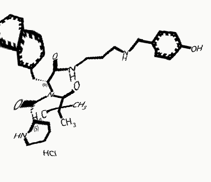 CC(C)(C)C(=O)N(C(=O)[C@@H]1CCCN1)[C@H](Cc1ccc2ccccc2c1)C(=O)NCCCNCc1ccc(O)cc1.Cl